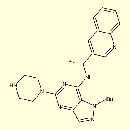 CCC(C)n1ncc2nc(N3CCNCC3)nc(N[C@H](C)c3cnc4ccccc4c3)c21